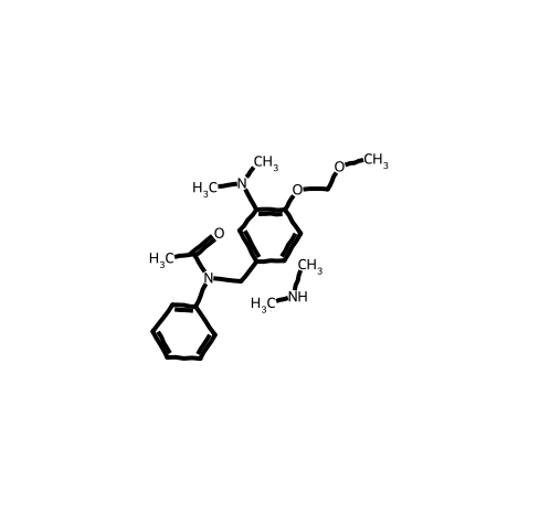 CNC.COCOc1ccc(CN(C(C)=O)c2ccccc2)cc1N(C)C